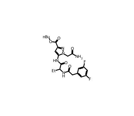 CCCCOC(=O)c1cc(NC(=O)C(CC)NC(=O)Cc2cc(F)cc(F)c2)n(CC(N)=O)n1